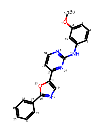 CCCCOc1cccc(Nc2nccc(-c3cnc(-c4ccccc4)o3)n2)c1